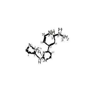 Cn1nccc1Nc1nccc(C2=CC(NN)NC=C2)n1